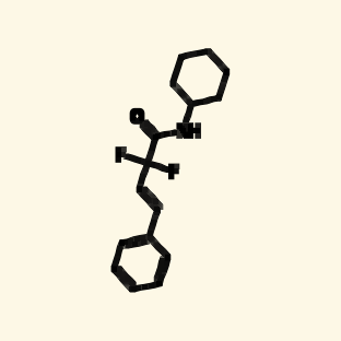 O=C(NC1CCCCC1)C(F)(F)/C=C/c1ccccc1